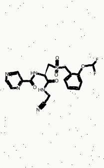 N#CCNC(=O)[C@H](CS(=O)(=O)Cc1ccccc1OC(F)F)NC(=O)c1cnccn1